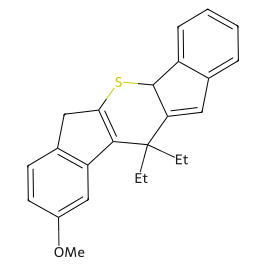 CCC1(CC)C2=Cc3ccccc3C2SC2=C1c1cc(OC)ccc1C2